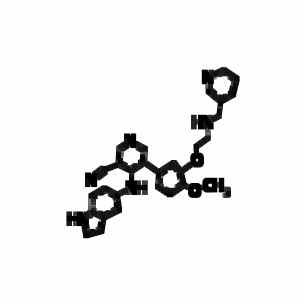 COc1ccc(-c2cncc(C#N)c2Nc2ccc3[nH]ccc3c2)cc1OCCNCc1cccnc1